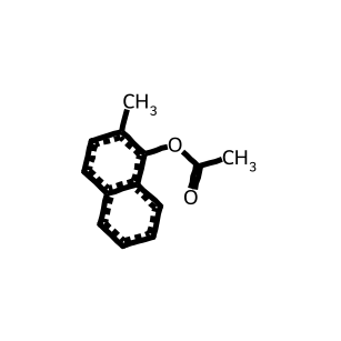 CC(=O)Oc1c(C)ccc2ccccc12